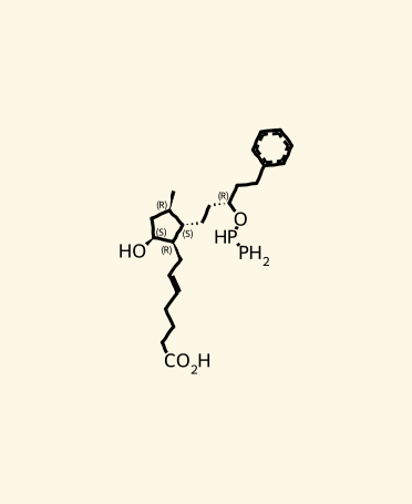 C[C@@H]1C[C@H](O)[C@H](CC=CCCCC(=O)O)[C@H]1CC[C@H](CCc1ccccc1)OPP